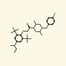 CCC(C)c1cc(C(C)(C)C)c(OCC(=O)N2CC(C)N(Cc3ccc(F)cc3)CC2C)c(C(C)(C)C)c1